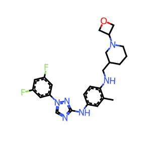 Cc1cc(Nc2ncn(-c3cc(F)cc(F)c3)n2)ccc1NCC1CCCN(C2COC2)C1